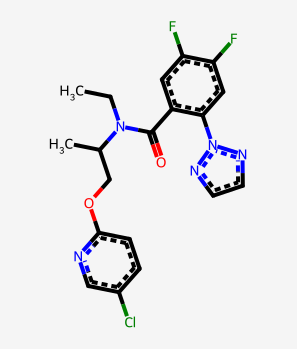 CCN(C(=O)c1cc(F)c(F)cc1-n1nccn1)C(C)COc1ccc(Cl)cn1